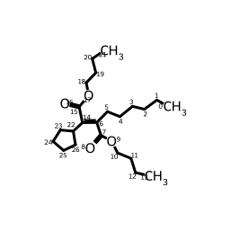 CCCCCCC(C(=O)OCCCC)=C(C(=O)OCCCC)C1CCCC1